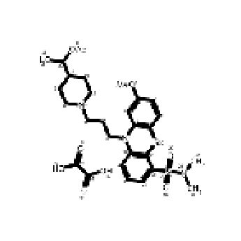 COc1ccc2c(c1)N(CCCN1CCC(C(C)OC(C)=O)CC1)c1cccc(S(=O)(=O)N(C)C)c1S2.O=C(O)C(=O)O